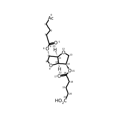 CC(=O)CCCC(=O)O[C@H]1CO[C@H]2[C@@H]1OC[C@H]2OC(=O)CCCC(=O)O